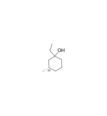 CCC1(O)CCC[C@H](C)C1